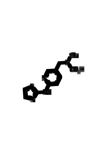 CC(C)(C)N(Cc1ccc(Nc2nccs2)nc1)C(=O)O